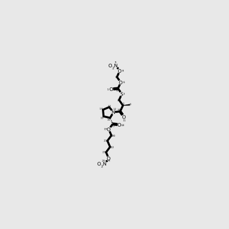 C[C@H](CSC(=O)OCO[N+](=O)[O-])C(=O)N1CCC[C@H]1C(=O)OCCCCO[N+](=O)[O-]